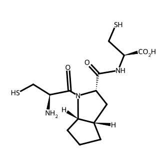 N[C@@H](CS)C(=O)N1[C@H](C(=O)N[C@@H](CS)C(=O)O)C[C@@H]2CCC[C@@H]21